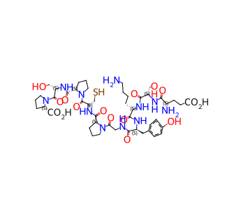 NCCCC[C@H](NC(=O)[C@H](CO)NC(=O)[C@@H](N)CCC(=O)O)C(=O)N[C@@H](Cc1ccc(O)cc1)C(=O)NCC(=O)N1CCC[C@H]1C(=O)N[C@@H](CS)C(=O)N1CCC[C@H]1C(=O)N[C@@H](CO)C(=O)N1CCC[C@H]1C(=O)O